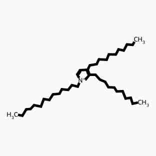 CCCCCCCCCCCCCC[n+]1ccc(CCCCCCCCCCC)c(CCCCCCCCCCC)c1